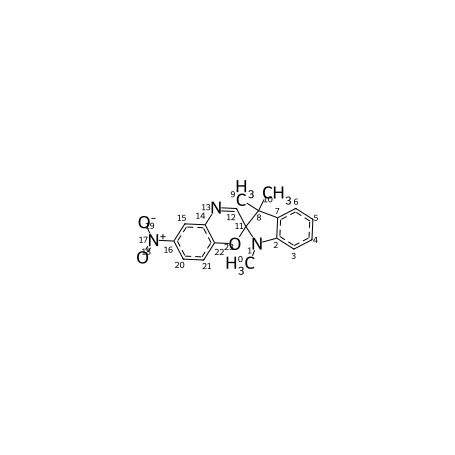 CN1c2ccccc2C(C)(C)C12C=Nc1cc([N+](=O)[O-])ccc1O2